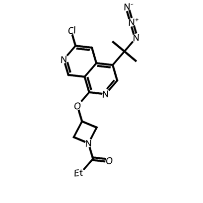 CCC(=O)N1CC(Oc2ncc(C(C)(C)N=[N+]=[N-])c3cc(Cl)ncc23)C1